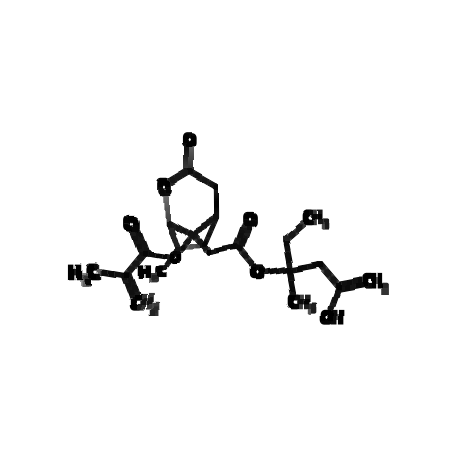 C=C(O)CC(C)(CC)OC(=O)CC1(OC(=O)C(=C)C)C2CC(=O)OC1C(C)C2